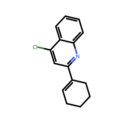 Clc1cc(C2=CCCCC2)nc2ccccc12